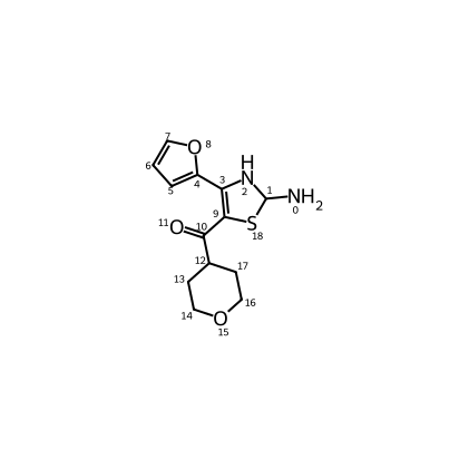 NC1NC(c2ccco2)=C(C(=O)C2CCOCC2)S1